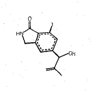 C=C(C)C(O)c1cc(I)c2c(c1)CNC2=O